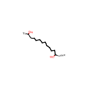 CCCCCCC(O)CCCCCCCCCCC(O)CC